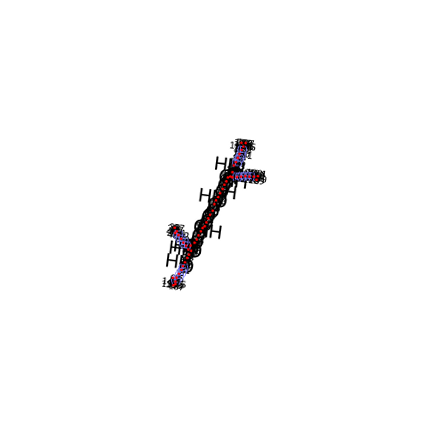 CC1=C(/C=C/C(C)=C/C=C/C(C)=C/C(=O)NCCCCC[C@H](NC(=O)/C=C(C)/C=C/C=C(C)/C=C/C2=C(C)CCCC2(C)C)C(=O)NCCOCCOCCNC(=O)CCOCCOCCOCCOCCC(=O)NCCOCCOCCNC(=O)[C@H](CCCCNC(=O)/C=C(C)/C=C/C=C(C)/C=C/C2=C(C)CCCC2(C)C)NC(=O)/C=C(C)/C=C/C=C(C)/C=C/C2=C(C)CCCC2(C)C)C(C)(C)CCC1